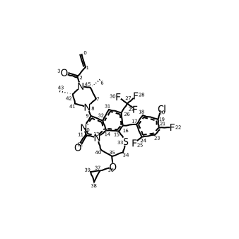 C=CC(=O)N1[C@H](C)CN(c2nc(=O)n3c4c(c(-c5cc(Cl)c(F)cc5F)c(C(F)(F)F)cc24)SCC(OC2CC2)C3)C[C@@H]1C